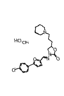 Cl.Cl.O=C1OC(CCCN2CCCCC2)CN1N=Cc1ccc(-c2ccc(Cl)cc2)o1